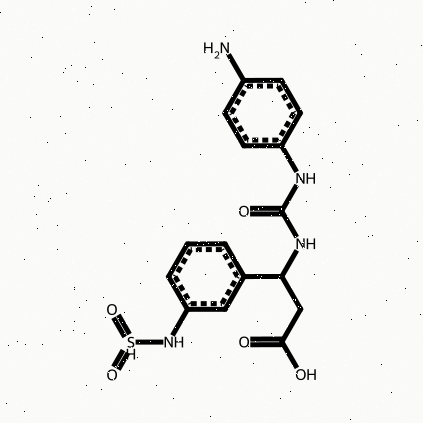 Nc1ccc(NC(=O)NC(CC(=O)O)c2cccc(N[SH](=O)=O)c2)cc1